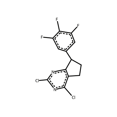 Fc1cc(C2CCc3c(Cl)nc(Cl)nc32)cc(F)c1F